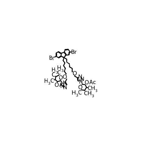 CC(=O)OC1C(C)C(C)C(C)OC1n1cc(COCCCCCCC2(CCCCCCOCc3cnnn3C3OC(C)C(C)C(C)C3OC(C)=O)c3cc(Br)ccc3-c3ccc(Br)cc32)nn1